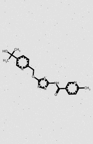 Cc1ccc(C(=O)Nc2nnc(OCc3ccc(C(C)(C)O)cn3)s2)cn1